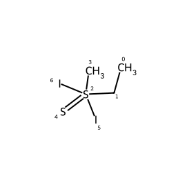 CCS(C)(=S)(I)I